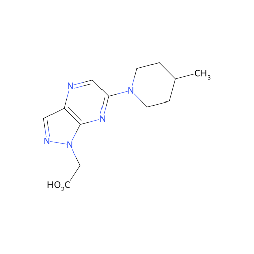 CC1CCN(c2cnc3cnn(CC(=O)O)c3n2)CC1